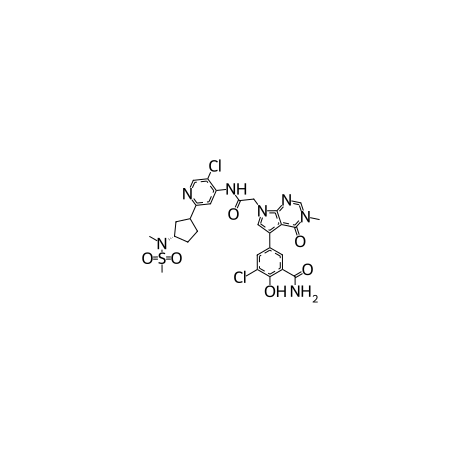 CN([C@H]1CCC(c2cc(NC(=O)Cn3cc(-c4cc(Cl)c(O)c(C(N)=O)c4)c4c(=O)n(C)cnc43)c(Cl)cn2)C1)S(C)(=O)=O